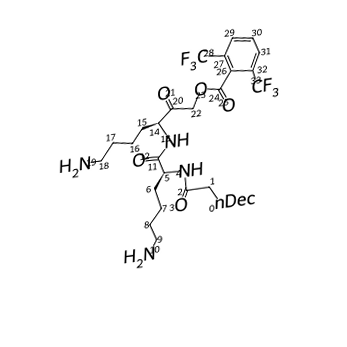 CCCCCCCCCCCC(=O)N[C@@H](CCCCN)C(=O)N[C@@H](CCCCN)C(=O)COC(=O)c1c(C(F)(F)F)cccc1C(F)(F)F